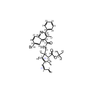 C=C/C=C\C(OC)=C(/F)C(C)(CNC(=O)c1c(C)c(-c2ccccc2)nc2ccc(Br)cc12)CC(=O)OC(C)(C)C